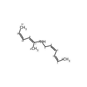 C/C=C\C=C/CN/C(C)=C/C=C\C